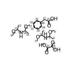 COC(C)NC(C)OC.COC(C)NC(C)OC.O=C(O)C(=O)O.O=C(O)Cc1ccccc1